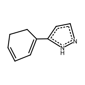 C1=CCCC(c2ccn[nH]2)=C1